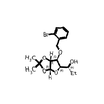 CC[C@@H](O)[C@H]1O[C@@H]2OC(C)(C)O[C@@H]2[C@H]1OCc1ccccc1Br